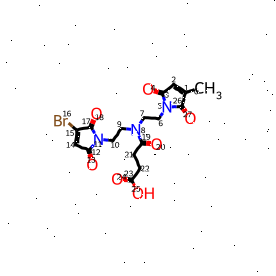 CC1=CC(=O)N(CCN(CCN2C(=O)C=C(Br)C2=O)C(=O)CCC(=O)O)C1=O